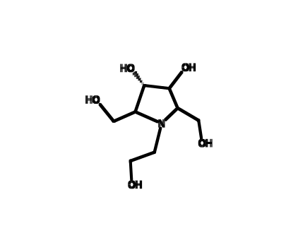 OCCN1C(CO)C(O)[C@@H](O)C1CO